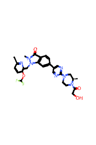 Cc1ccc(OC(F)F)c(Cn2c3cc(-c4cnc(N5CCN(C(=O)CO)[C@H](C)C5)nc4)ccc3c(=O)n2C)n1